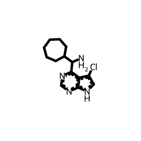 NC(c1ncnc2[nH]cc(Cl)c12)C1CCCCCC1